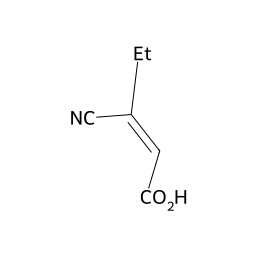 CC/C(C#N)=C/C(=O)O